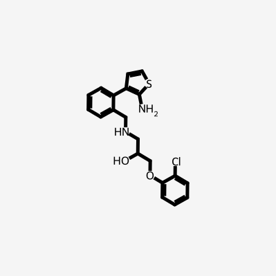 Nc1sccc1-c1ccccc1CNCC(O)COc1ccccc1Cl